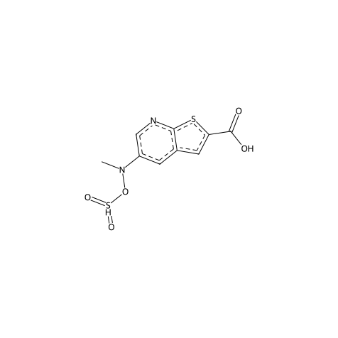 CN(O[SH](=O)=O)c1cnc2sc(C(=O)O)cc2c1